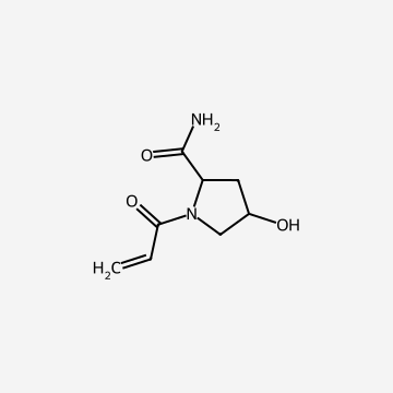 C=CC(=O)N1CC(O)CC1C(N)=O